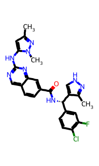 Cc1cc(Nc2ncc3ccc(C(=O)N[C@@H](c4ccc(Cl)c(F)c4)c4c[nH]nc4C)cc3n2)n(C)n1